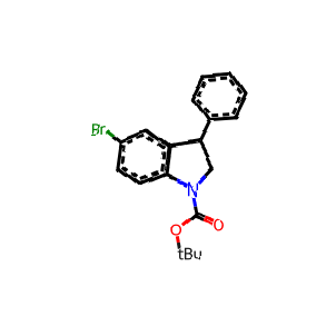 CC(C)(C)OC(=O)N1CC(c2ccccc2)c2cc(Br)ccc21